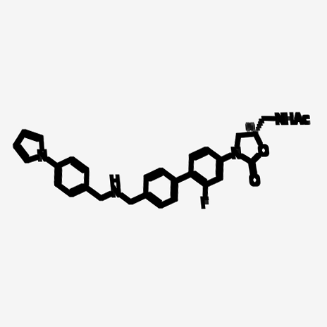 CC(=O)NC[C@H]1CN(c2ccc(-c3ccc(CNCc4ccc(-n5cccc5)cc4)cc3)c(F)c2)C(=O)O1